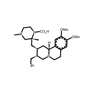 COc1cc2c(cc1OC)[C@H]1C[C@H](C[C@]3(C)CN(C)CCN3C(=O)O)[C@H](CC(C)C)CN1CC2